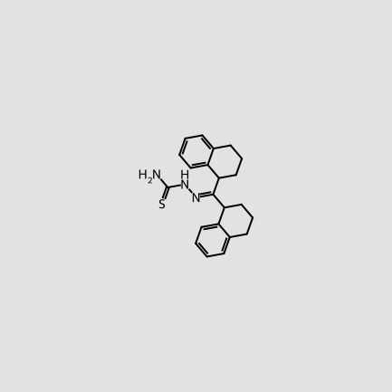 NC(=S)NN=C(C1CCCc2ccccc21)C1CCCc2ccccc21